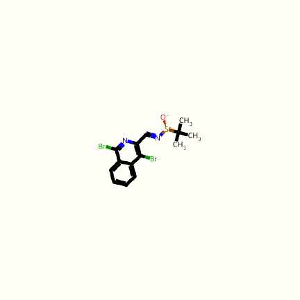 CC(C)(C)[S@+]([O-])N=Cc1nc(Br)c2ccccc2c1Br